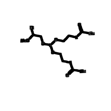 CCC(COP(OCCSC(=O)C(C)(C)C)OCCSC(=O)C(C)(C)C)OC